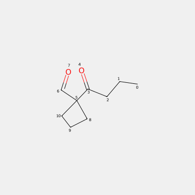 CCCC(=O)C1(C=O)CCC1